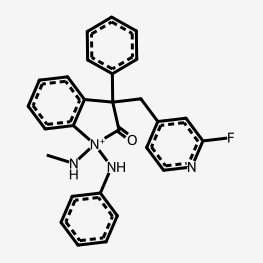 CN[N+]1(Nc2ccccc2)C(=O)C(Cc2ccnc(F)c2)(c2ccccc2)c2ccccc21